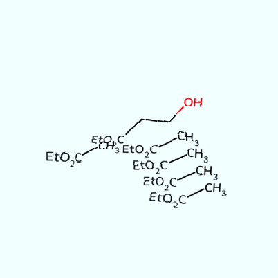 CCOC(=O)CCO.CCOC(C)=O.CCOC(C)=O.CCOC(C)=O.CCOC(C)=O.CCOC(C)=O